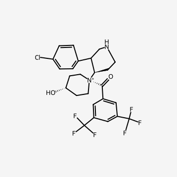 O=C(c1cc(C(F)(F)F)cc(C(F)(F)F)c1)[N@+]1([C@@H]2CCNCC2c2ccc(Cl)cc2)CC[C@H](O)CC1